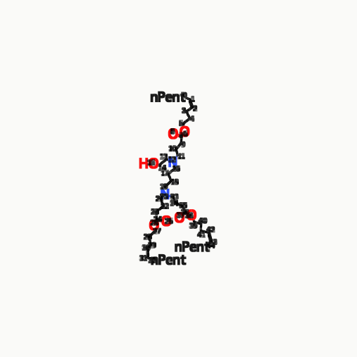 CCCCC/C=C\CCCOC(=O)CCCN(CCO)CCCCN(CCCC(=O)OCCC/C=C\CCCCC)CCCC(=O)OCCC/C=C\CCCCC